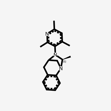 Cc1cc(C)c(N2C3Cc4ccccc4N(C3)[C@@H]2C)c(C)n1